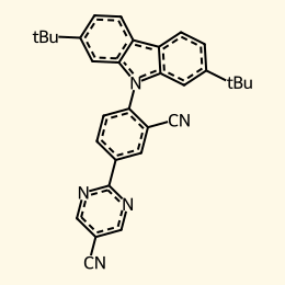 CC(C)(C)c1ccc2c3ccc(C(C)(C)C)cc3n(-c3ccc(-c4ncc(C#N)cn4)cc3C#N)c2c1